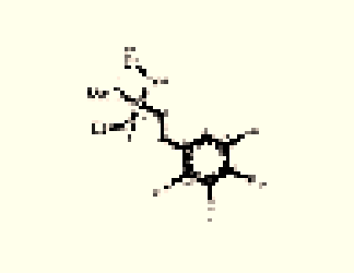 CCO[Si](CCc1cc(F)c(F)c(F)c1F)(OC)OCC